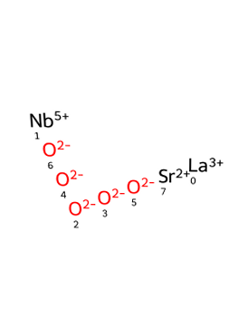 [La+3].[Nb+5].[O-2].[O-2].[O-2].[O-2].[O-2].[Sr+2]